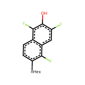 CCCCCCc1ccc2c(F)c(O)c(F)cc2c1F